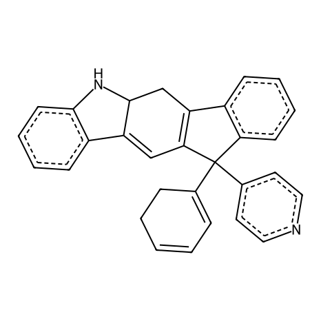 C1=CCCC(C2(c3ccncc3)C3=C(CC4Nc5ccccc5C4=C3)c3ccccc32)=C1